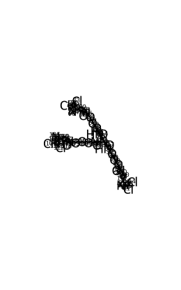 Cc1cc(C2CN(C)Cc3c(Cl)cc(Cl)cc32)ccc1CN(C=O)CCOCCOCCOCCNC(=O)CCN(CCC(=O)NCCOCCOCCOCCN1Cc2ccc(C3CN(C)Cc4c(Cl)cc(Cl)cc43)cc2C1=O)CCC(=O)NCCOCCOCCOCCN1Cc2ccc(C3CN(C)Cc4c(Cl)cc(Cl)cc43)cc2C1=O